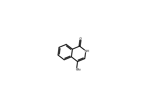 CC(C)(C)c1c[nH]c(=O)c2ccccc12